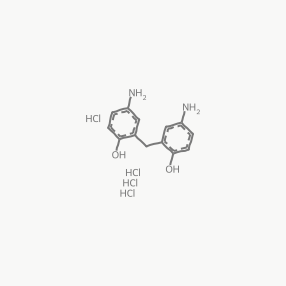 Cl.Cl.Cl.Cl.Nc1ccc(O)c(Cc2cc(N)ccc2O)c1